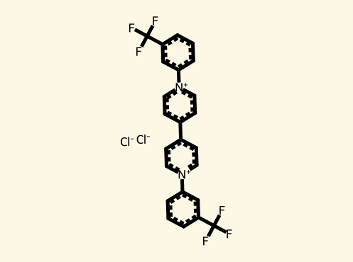 FC(F)(F)c1cccc(-[n+]2ccc(-c3cc[n+](-c4cccc(C(F)(F)F)c4)cc3)cc2)c1.[Cl-].[Cl-]